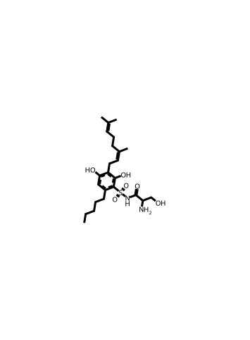 CCCCCc1cc(O)c(CC=C(C)CCC=C(C)C)c(O)c1S(=O)(=O)NC(=O)C(N)CO